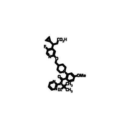 CCC(C)(C)N(C(=O)c1ccc(OC)cc1N1CCC(COc2cc(C(CC(=O)O)C3CC3)c(F)cn2)CC1)c1ncccn1